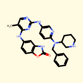 Cc1cnc(Nc2ccc(N(Cc3ccccc3)C3CCCNC3)nc2)nc1Nc1ccc2oc(=O)[nH]c2c1